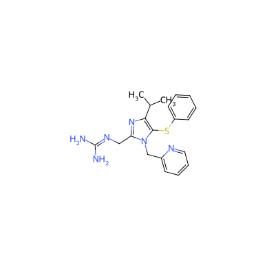 CC(C)c1nc(CN=C(N)N)n(Cc2ccccn2)c1Sc1ccccc1